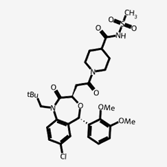 COc1cccc([C@H]2O[C@H](CC(=O)N3CCC(C(=O)NS(C)(=O)=O)CC3)C(=O)N(CC(C)(C)C)c3ccc(Cl)cc32)c1OC